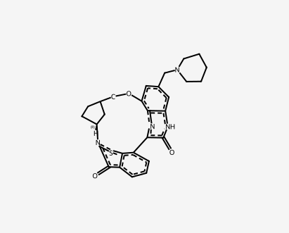 O=c1[nH]c2cc(CN3CCCCC3)cc3c2nc1-c1cccc2c(=O)n(sc12)[C@@H]1CCC(CO3)C1